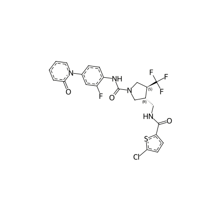 O=C(NC[C@@H]1CN(C(=O)Nc2ccc(-n3ccccc3=O)cc2F)C[C@H]1C(F)(F)F)c1ccc(Cl)s1